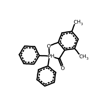 Cc1cc(C)c2c(c1)O[PH](c1ccccc1)(c1ccccc1)C2=O